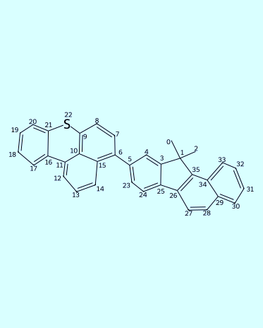 CC1(C)c2cc(-c3ccc4c5c(cccc35)-c3ccccc3S4)ccc2-c2ccc3ccccc3c21